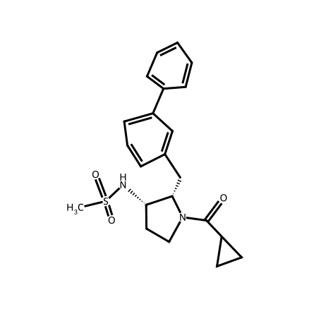 CS(=O)(=O)N[C@H]1CCN(C(=O)C2CC2)[C@H]1Cc1cccc(-c2ccccc2)c1